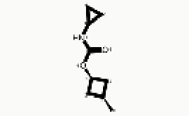 C[C@H]1C[C@@H](OC(=O)NC2CC2)C1